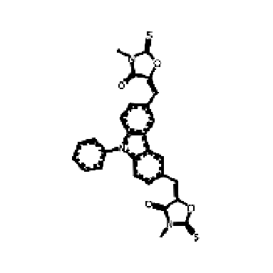 CN1C(=O)/C(=C\c2ccc3c(c2)c2cc(/C=C4/OC(=S)N(C)C4=O)ccc2n3-c2ccccc2)OC1=S